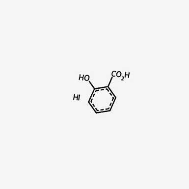 I.O=C(O)c1ccccc1O